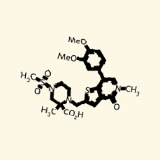 COc1ccc(-c2cn(C)c(=O)c3cc(CN4CCN(S(C)(=O)=O)CC4(C)C(=O)O)sc23)cc1OC